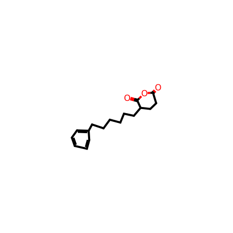 O=C1CCC(CCCCCCc2ccccc2)C(=O)O1